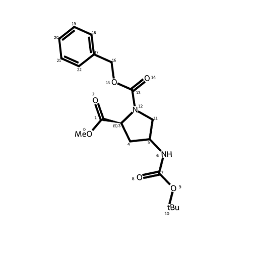 COC(=O)[C@@H]1CC(NC(=O)OC(C)(C)C)CN1C(=O)OCc1ccccc1